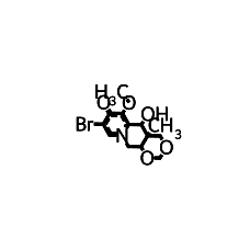 COc1c2n(cc(Br)c1=O)CC1OCOCC1(C)C2O